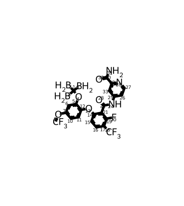 BC(B)(B)Oc1cc(OC(F)(F)F)ccc1Oc1ccc(C(F)(F)F)c(F)c1C(=O)Nc1ccnc(C(N)=O)c1